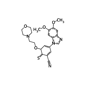 COc1cc2ncn(C3=CC(OCCN4CCOCC4)C(=S)C(C#N)=C3)c2cc1OC